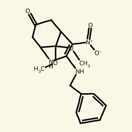 COC1(OC)C2CC(=O)CC1C([N+](=O)[O-])=C(NCc1ccccc1)N2